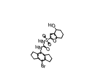 O=C(Nc1c2c(c(Br)c3c1CCC3)CCC2)NS(=O)(=O)c1cc2c(o1)CCCC2O